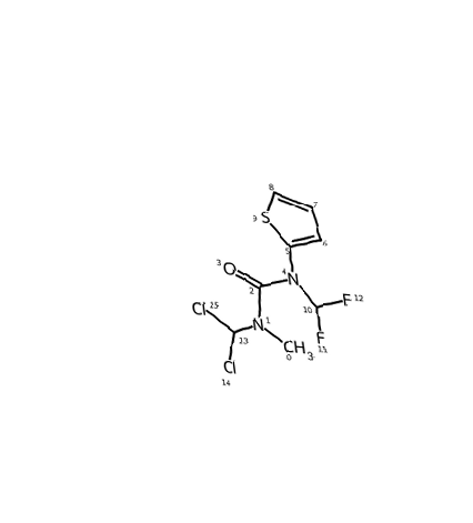 CN(C(=O)N(c1cccs1)C(F)F)C(Cl)Cl